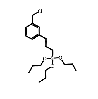 CCCO[Si](CCCc1cccc(CCl)c1)(OCCC)OCCC